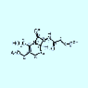 CCCSCC(=O)N[C@@H]1C(=O)N2C(C(=O)O)=C(COC(C)=O)CS[C@H]12